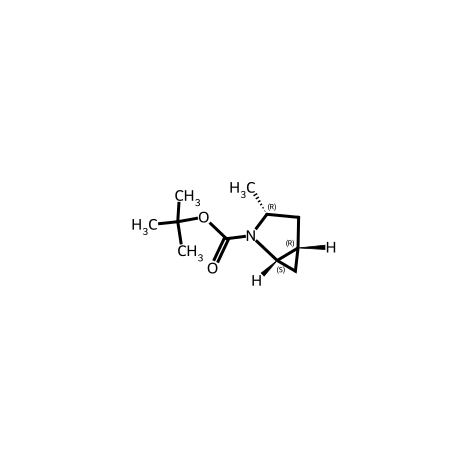 C[C@@H]1C[C@@H]2C[C@@H]2N1C(=O)OC(C)(C)C